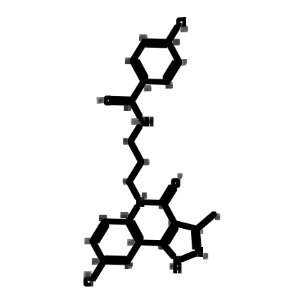 Cc1n[nH]c2c1c(=O)n(CCCNC(=O)c1ccc(Cl)cc1)c1ccc(Cl)cc21